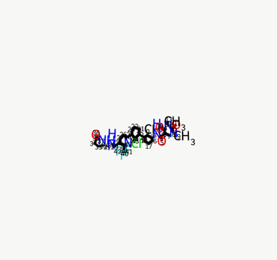 Cc1c(NC(=O)c2cn(C)c(=O)n(C)c2=O)cccc1-c1cccc(-c2ccc(CNC[C@@H]3CCC(=O)N3)c(C(F)(F)F)n2)c1Cl